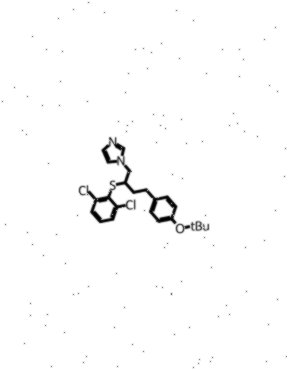 CC(C)(C)Oc1ccc(CCC(Cn2ccnc2)Sc2c(Cl)cccc2Cl)cc1